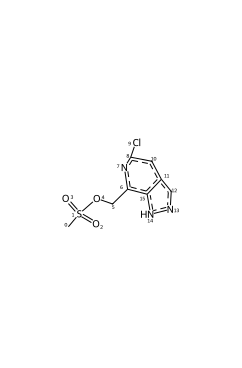 CS(=O)(=O)OCc1nc(Cl)cc2cn[nH]c12